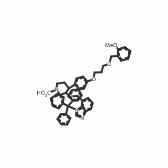 COc1ccccc1COCCCOc1ccc(C2CCN(C(=O)O)CC2OCc2cccc3ncn(C(c4ccccc4)(c4ccccc4)c4ccccc4)c23)cc1